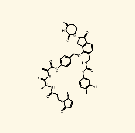 C=C(NC(=O)[C@H](C)NC(=O)CCN1C(=O)C=CC1=O)C(=O)Nc1ccc(COc2c(CNC(=O)Nc3ccc(C)c(Cl)c3)ccc3c2CN([C@H]2CCC(=O)NC2=O)C3=O)cc1